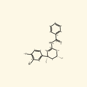 C[C@@H]1C[C@@](C)(c2ccc(F)c(Br)c2)N=C(NC(=O)c2ccccc2)S1